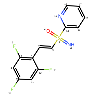 N=S(=O)(/C=C/c1c(F)cc(F)cc1F)c1ccccn1